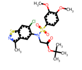 COc1ccc(S(=O)(=O)N(CC(=O)OC(C)(C)C)c2cc3c(C)nsc3cc2Cl)cc1OC